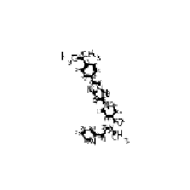 CC(C)c1ccc(-c2cn3nc(N4CCC(C(=O)N(C)CCc5ccccn5)CC4)sc3n2)cc1